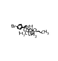 CCCCOC(=O)N[C@H](c1ncc(-c2ccc(Br)cc2)o1)C(C)C